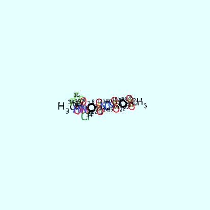 C[C@@](O)(C(=O)Nc1ccc(S(=O)(=O)N2CCN(S(=O)(=O)c3ccc(S(C)(=O)=O)cc3)CC2)cc1Cl)C(F)(F)F